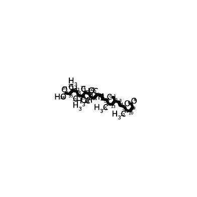 CCC(C=CC1OC(=O)C=CC1C)=CC(C)CC=CC(C)=CC(C)C(=O)C(C)C(O)C(C)CC(C)=CC(=O)O